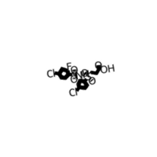 O=C(O)CCS(=O)(=O)c1ccc(Cl)cc1NS(=O)(=O)c1ccc(Cl)cc1F